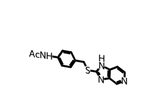 CC(=O)Nc1ccc(CSc2nc3cnccc3[nH]2)cc1